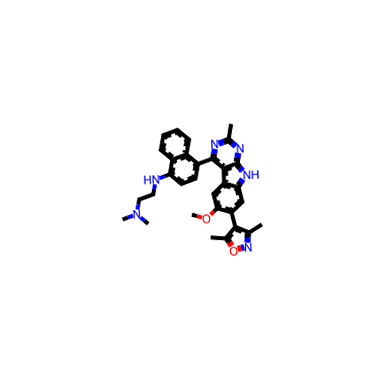 COc1cc2c(cc1-c1c(C)noc1C)[nH]c1nc(C)nc(-c3ccc(NCCN(C)C)c4ccccc34)c12